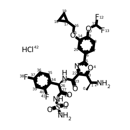 C[C@H](N)c1oc(-c2ccc(OC(F)F)c(OCC3CC3)c2)nc1C(=O)N[C@@H](C(=O)NS(N)(=O)=O)c1ccc(F)cc1F.Cl